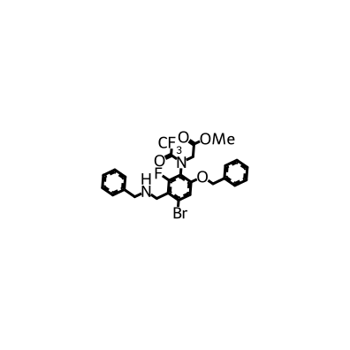 COC(=O)CN(C(=O)C(F)(F)F)c1c(OCc2ccccc2)cc(Br)c(CNCc2ccccc2)c1F